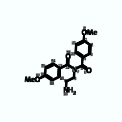 COc1ccc(C(=O)N(CCN)C(=O)c2ccc(OC)cc2)cc1